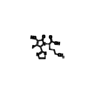 CCCCC(C(=O)O)N1C(=O)C(O)=C(F)C1c1nccs1